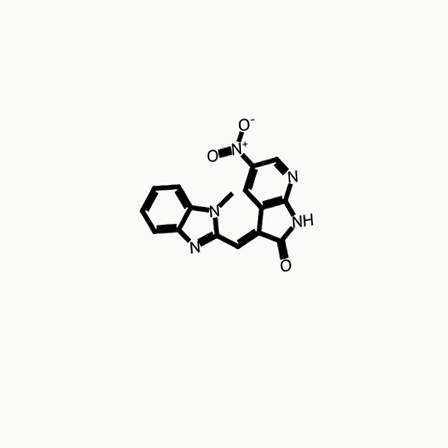 Cn1c(C=C2C(=O)Nc3ncc([N+](=O)[O-])cc32)nc2ccccc21